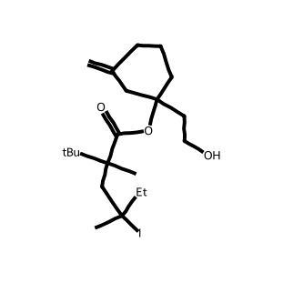 C=C1CCCC(CCO)(OC(=O)C(C)(CC(C)(I)CC)C(C)(C)C)C1